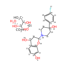 CCO.O.O=C(O)C(O)C(O)C(=O)O.Oc1ccc2c(c1)OC(N1CCC(O)(c3ccc(F)cc3)CC1)CC2O